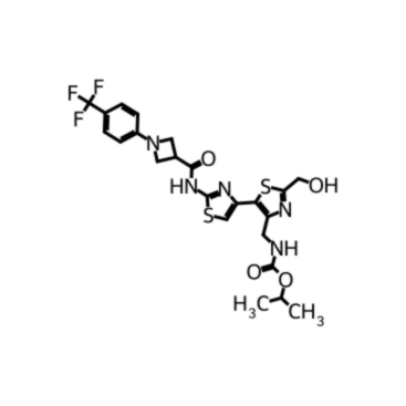 CC(C)OC(=O)NCc1nc(CO)sc1-c1csc(NC(=O)C2CN(c3ccc(C(F)(F)F)cc3)C2)n1